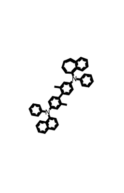 Cc1cc(N(C2=c3ccccc3=C=CC=C2)c2ccccc2)ccc1-c1ccc(N(c2ccccc2)c2cccc3ccccc23)cc1C